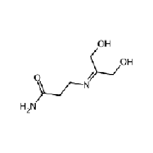 NC(=O)CCN=C(CO)CO